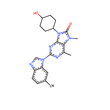 Cc1nc(-n2cnc3ccc(C#N)cc32)nc2c1n(C)c(=O)n2C1CCC(O)CC1